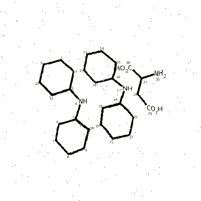 C1CCC(NC2CCCCC2)CC1.C1CCC(NC2CCCCC2)CC1.NC(CC(=O)O)C(=O)O